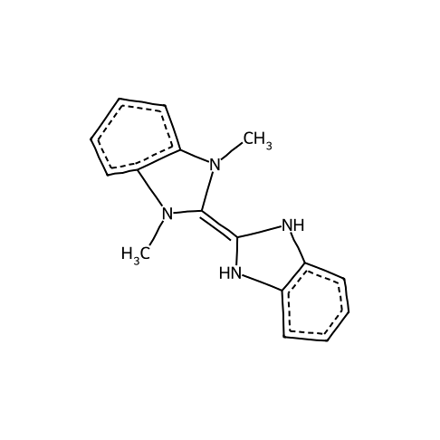 CN1C(=C2Nc3ccccc3N2)N(C)c2ccccc21